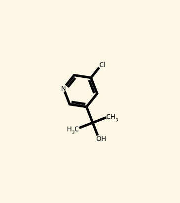 CC(C)(O)c1cncc(Cl)c1